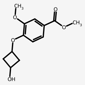 COC(=O)c1ccc(OC2CC(O)C2)c(OC)c1